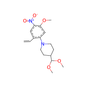 C=Cc1cc([N+](=O)[O-])c(OC)cc1N1CCC(C(OC)OC)CC1